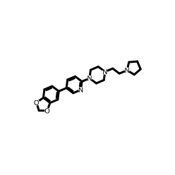 c1cc(N2CCN(CCN3CCCC3)CC2)ncc1-c1ccc2c(c1)OCO2